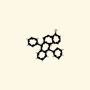 Brc1cccc2c1ccc1c(-c3ccccc3)c3ccccc3c(-c3ccccc3)c12